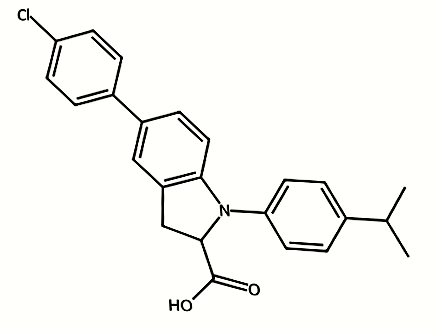 CC(C)c1ccc(N2c3ccc(-c4ccc(Cl)cc4)cc3CC2C(=O)O)cc1